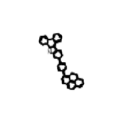 c1ccc2c(c1)C1=Nc3cc(-c4ccc(-c5ccc6ccc7cccc8ccc5c6c78)cc4)ccc3C1c1ccccc1-2